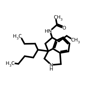 CCCCC(CCC)C1(CC(CCC)NC(C)=O)CNCc2ccccc21